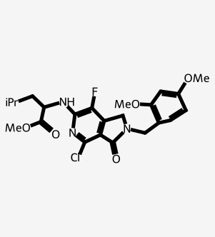 COC(=O)C(CC(C)C)Nc1nc(Cl)c2c(c1F)CN(Cc1ccc(OC)cc1OC)C2=O